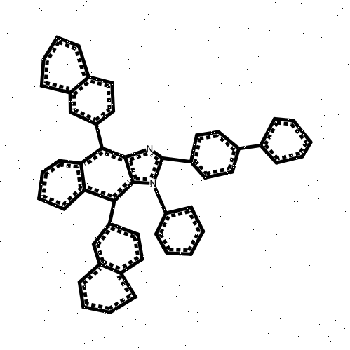 c1ccc(-c2ccc(-c3nc4c(-c5ccc6ccccc6c5)c5ccccc5c(-c5ccc6ccccc6c5)c4n3-c3ccccc3)cc2)cc1